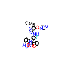 COc1cc2ncnc(Nc3ccc(C(C(N)=O)(c4ccccc4)N4Cc5ccccc5C4=O)cc3F)c2cc1OCN1CCN(C)CC1